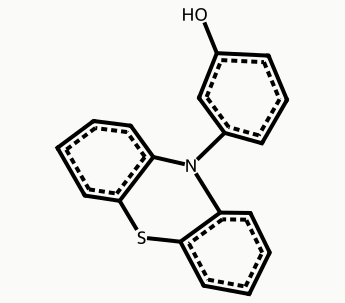 Oc1cccc(N2c3ccccc3Sc3ccccc32)c1